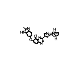 Cc1nc2ccc(Oc3ccc4ncc(-c5cnn([C@@H]6C[C@H]7CC[C@@H](C6)N7)c5)nc4c3Cl)cc2[nH]1